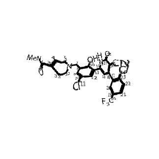 CNC(=O)C1CCN(Cc2cc(Cl)cc(-c3cc(-c4cc(C(F)(F)F)ccc4Cl)c(C#N)c(=O)[nH]3)c2O)CC1